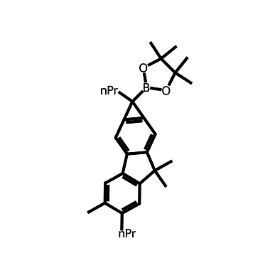 CCCc1cc2c(cc1C)-c1cc3c(cc1C2(C)C)C3(CCC)B1OC(C)(C)C(C)(C)O1